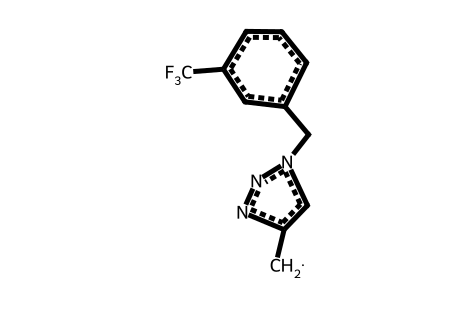 [CH2]c1cn(Cc2cccc(C(F)(F)F)c2)nn1